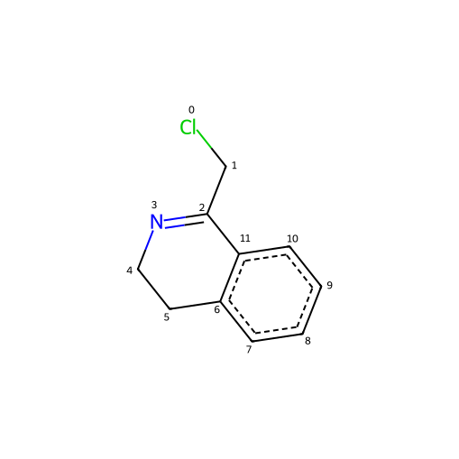 ClCC1=NCCc2ccccc21